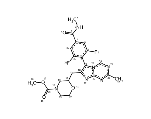 CNC(=O)c1cc(F)c(-c2c(CC3CN(C(=O)OC)CCO3)nc3cc(C)ncn23)c(F)c1